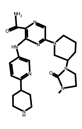 CN1CCN(C2CCCN(c3cnc(C(N)=O)c(Nc4ccc(C5CCNCC5)nc4)n3)C2)C1=O